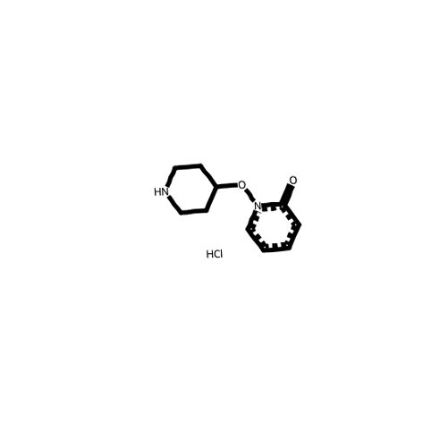 Cl.O=c1ccccn1OC1CCNCC1